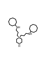 C1CCCC(NCCC[N+]2(CCCNC3CCCCCCC3)CCNCC2)CCC1